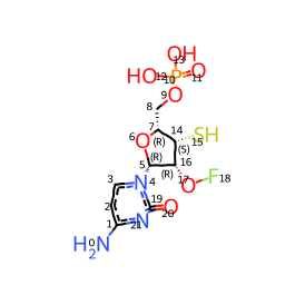 Nc1ccn([C@@H]2O[C@H](COP(=O)(O)O)[C@H](S)[C@@H]2OF)c(=O)n1